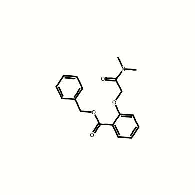 CN(C)C(=O)COc1ccccc1C(=O)OCc1ccccc1